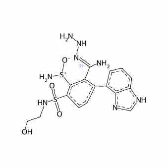 NN/N=C(\N)c1c(-c2cccc3[nH]cnc23)ccc(S(=O)(=O)NCCO)c1[S+](N)[O-]